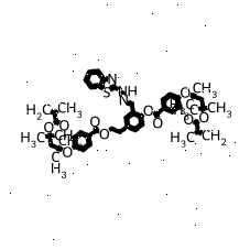 C=C(C)C(=O)OC(C)(C)CC(C)(C)Oc1ccc(C(=O)OCCc2ccc(OC(=O)c3ccc(OC(C)(C)CC(C)(C)OC(=O)C(=C)C)cc3)c(/C=N/Nc3nc4ccccc4s3)c2)cc1